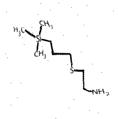 C[Si](C)(C)CCCSCCN